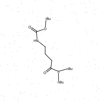 CCCCN(CCCC)C(=O)CCCNC(=O)OC(C)(C)C